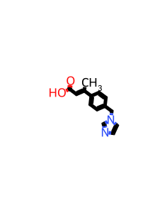 CC(=CC(=O)O)c1ccc(Cn2ccnc2)cc1